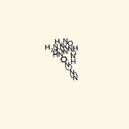 CN1CCN(C2CCN(c3ccc(Nc4nc(N[C@@H]5CCNC5)c(C(N)=O)nc4C(N)=O)cc3)CC2)CC1